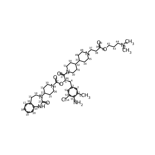 Cc1cc(C[C@@H](OC(=O)N2CCC(N3CCc4ccccc4NC3=O)CC2)C(=O)N2CCC(C3CCN(CCC(=O)OCCCN(C)C)CC3)CC2)cc(Cl)c1N